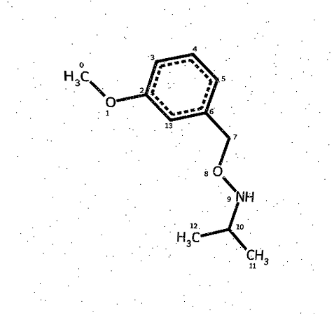 COc1cccc(CONC(C)C)c1